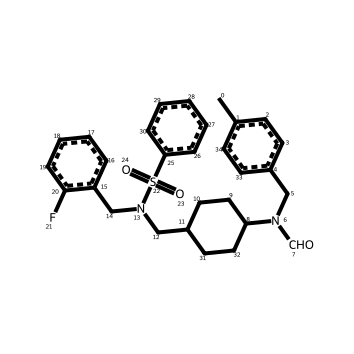 Cc1ccc(CN(C=O)C2CCC(CN(Cc3ccccc3F)S(=O)(=O)c3ccccc3)CC2)cc1